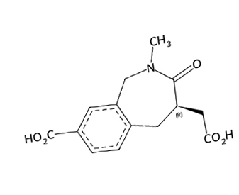 CN1Cc2cc(C(=O)O)ccc2C[C@H](CC(=O)O)C1=O